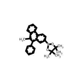 Cc1c(-c2ccccc2)c2cc(B3OC(C)(C)C(C)(C)O3)ccc2c2ccccc12